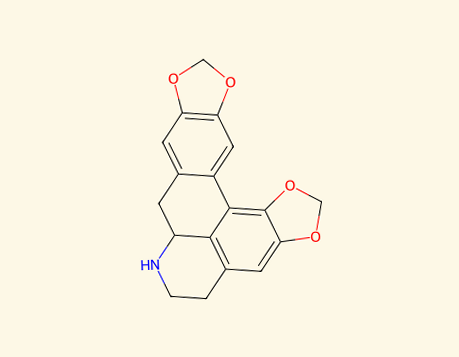 c1c2c(cc3c1OCO3)-c1c3c(cc4c1C(C2)NCC4)OCO3